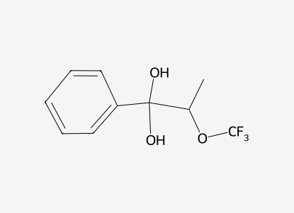 CC(OC(F)(F)F)C(O)(O)c1ccccc1